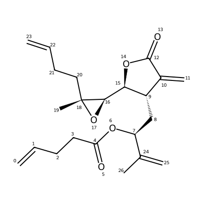 C=CCCC(=O)O[C@@H](C[C@H]1C(=C)C(=O)O[C@@H]1[C@H]1O[C@]1(C)CCC=C)C(=C)C